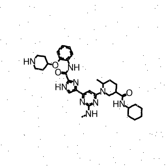 CNc1nc(-c2c[nH]c(C(=O)Nc3ccccc3OC3CCNCC3)n2)cc(N2CC(C(=O)NC3CCCCC3)CCC2C)n1